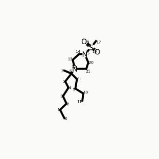 CCCCCCC(C)(CCCC)N1CCN(S(C)(=O)=O)CC1